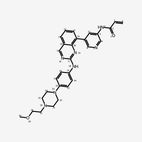 C=CC(=O)Nc1cncc(-c2cccc3cnc(Nc4ccc(N5CCN(CCOC)CC5)cc4)nc23)c1